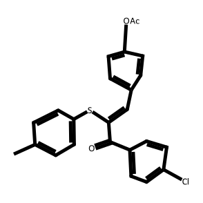 CC(=O)Oc1ccc(C=C(Sc2ccc(C)cc2)C(=O)c2ccc(Cl)cc2)cc1